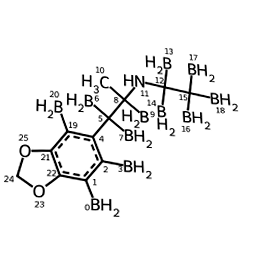 Bc1c(B)c(C(B)(B)C(B)(C)NC(B)(B)C(B)(B)B)c(B)c2c1OCO2